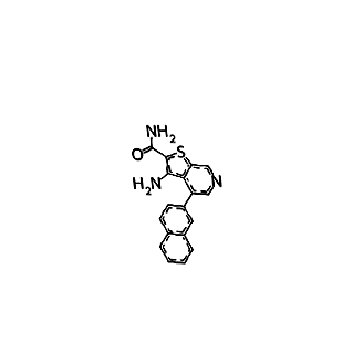 NC(=O)c1sc2cncc(-c3ccc4ccccc4c3)c2c1N